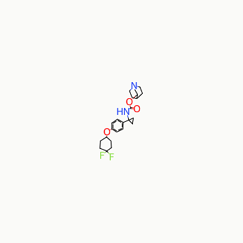 O=C(NC1(c2ccc(OC3CCC(F)(F)CC3)cc2)CC1)OC1CN2CCC1CC2